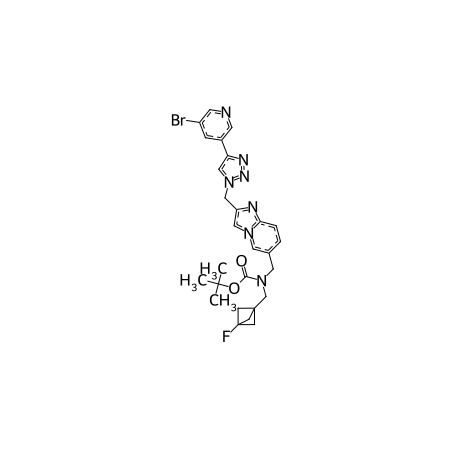 CC(C)(C)OC(=O)N(Cc1ccc2nc(Cn3cc(-c4cncc(Br)c4)nn3)cn2c1)CC12CC(F)(C1)C2